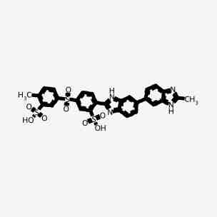 Cc1nc2ccc(-c3ccc4nc(-c5ccc(S(=O)(=O)c6ccc(C)c(S(=O)(=O)O)c6)cc5S(=O)(=O)O)[nH]c4c3)cc2[nH]1